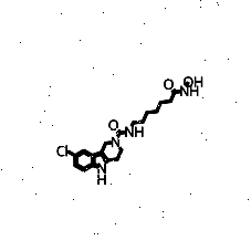 O=C(CCCCCCNC(=O)N1CCc2[nH]c3ccc(Cl)cc3c2C1)NO